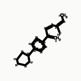 C=C(/C=C\C(F)=C/C)c1ccc(C2CCCCC2)cc1